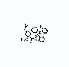 CC1CN(CC2CC2)CCN1C(=O)OC[C@H]1CCC[C@@H](c2cccc(F)c2)N1S(=O)(=O)c1ccccc1